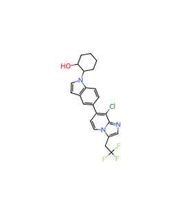 OC1CCCCC1n1ccc2cc(-c3ccn4c(CC(F)(F)F)cnc4c3Cl)ccc21